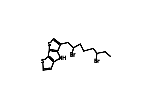 CCC(Br)CCCC(Br)Cc1csc2c1[nH]c1ccsc12